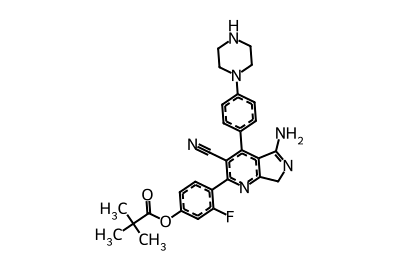 CC(C)(C)C(=O)Oc1ccc(-c2nc3c(c(-c4ccc(N5CCNCC5)cc4)c2C#N)C(N)=NC3)c(F)c1